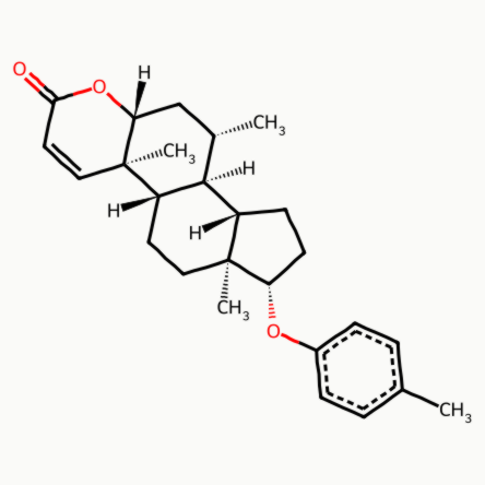 Cc1ccc(O[C@H]2CC[C@H]3[C@@H]4[C@@H](C)C[C@H]5OC(=O)C=C[C@]5(C)[C@H]4CC[C@]23C)cc1